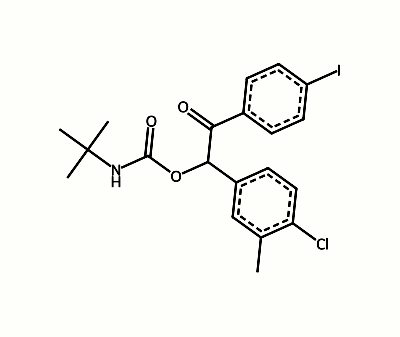 Cc1cc(C(OC(=O)NC(C)(C)C)C(=O)c2ccc(I)cc2)ccc1Cl